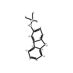 C[Si](C)(C)Oc1ccc2c(c1)-c1ccccc1[I+]2